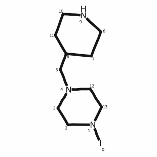 IN1CCN(CC2CCNCC2)CC1